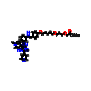 COC(=O)COCCCOCCCCCOc1ccc(CNc2cccc(NC3(c4nnc(-c5ccncc5)[nH]4)CCN(C)CC3)c2)cc1